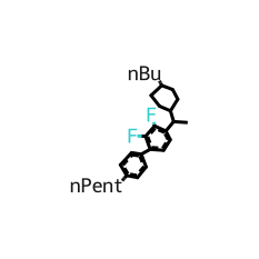 CCCCCc1ccc(-c2ccc(C(C)C3CCC(CCCC)CC3)c(F)c2F)cc1